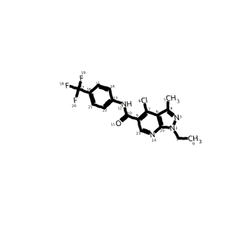 CCn1nc(C)c2c(Cl)c(C(=O)Nc3ccc(C(F)(F)F)cc3)cnc21